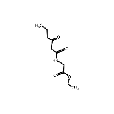 CCCC(=O)CC(=O)NCC(=O)OCC